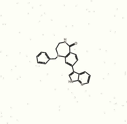 O=C1NCCN(Cc2ccccc2)c2cc(-c3c[nH]c4ncccc34)ccc21